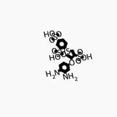 Nc1ccc(OC2=C[SH](c3ccc(S(=O)(=O)O)cc3S(=O)(=O)O)C=C2S(=O)(=O)O)cc1N